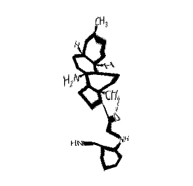 C[C@H]1CC[C@@H]2C3CC[C@@]4(C)C(CC[C@@H]4C(=O)CNC4=C(C=N)CCCC4)[C@]3(N)CC[C@@H]2C1